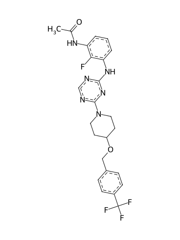 CC(=O)Nc1cccc(Nc2ncnc(N3CCC(OCc4ccc(C(F)(F)F)cc4)CC3)n2)c1F